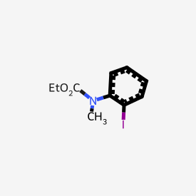 [CH2]COC(=O)N(C)c1ccccc1I